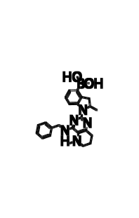 CC1Cc2c(B(O)O)cccc2N1c1nc2c(c(NCc3ccccc3)n1)N(C)CCC2